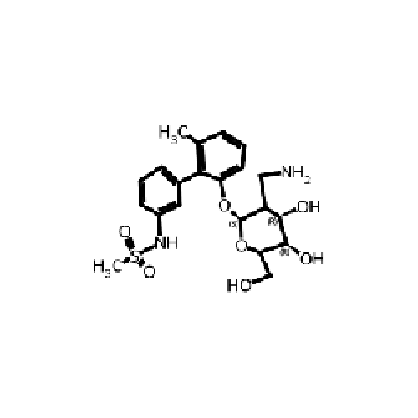 Cc1cccc(O[C@@H]2OC(CO)[C@H](O)[C@H](O)C2CN)c1-c1cccc(NS(C)(=O)=O)c1